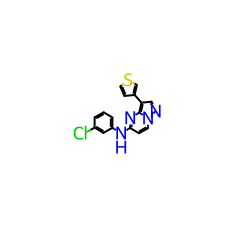 Clc1cccc(Nc2ccn3ncc(-c4ccsc4)c3n2)c1